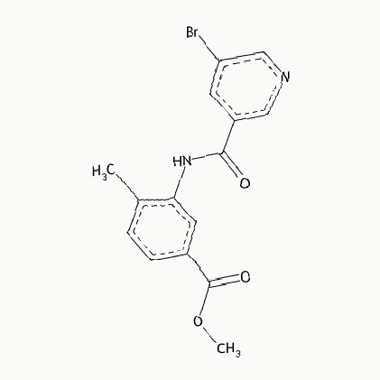 COC(=O)c1ccc(C)c(NC(=O)c2cncc(Br)c2)c1